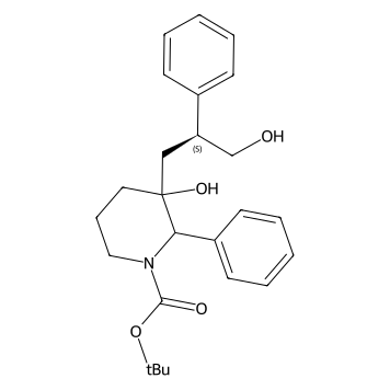 CC(C)(C)OC(=O)N1CCCC(O)(C[C@H](CO)c2ccccc2)C1c1ccccc1